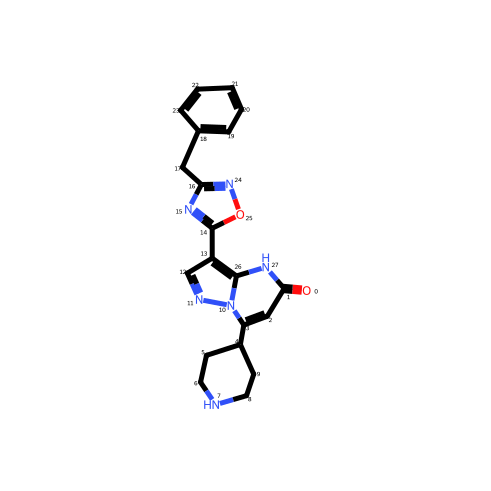 O=c1cc(C2CCNCC2)n2ncc(-c3nc(Cc4ccccc4)no3)c2[nH]1